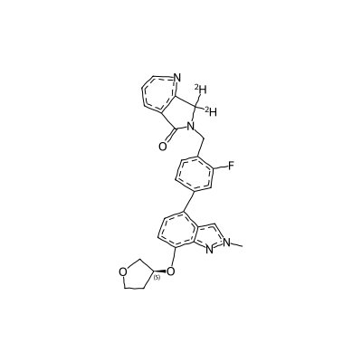 [2H]C1([2H])c2ncccc2C(=O)N1Cc1ccc(-c2ccc(O[C@H]3CCOC3)c3nn(C)cc23)cc1F